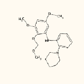 COCOc1c(OC)cc(OC)cc1Pc1ccccc1N1CCCCC1